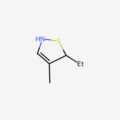 CCC1SNC=C1C